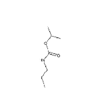 CCCNC(=O)OC(C)C